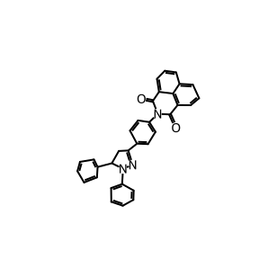 O=C1c2cccc3cccc(c23)C(=O)N1c1ccc(C2=NN(c3ccccc3)C(c3ccccc3)C2)cc1